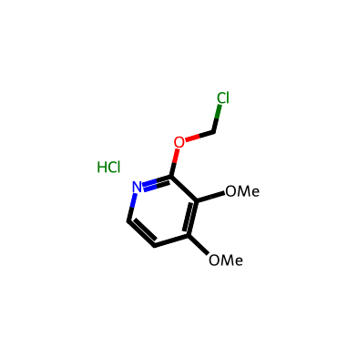 COc1ccnc(OCCl)c1OC.Cl